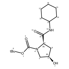 CC(C)(C)OC(=O)N1C[C@H](O)C[C@@H]1C(=O)NC1CCCCC1